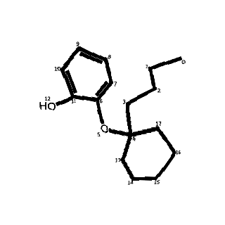 CCCCC1(Oc2ccccc2O)CCCCC1